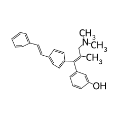 CC(CN(C)C)=C(c1ccc(C=Cc2ccccc2)cc1)c1cccc(O)c1